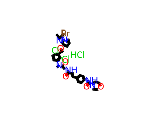 Cc1nc2c(OCc3c(Cl)ccc(N(C)C(=O)CNC(=O)C=Cc4ccc(NC(=O)N5CCOCC5)cc4)c3Cl)cccn2c1Br.Cl